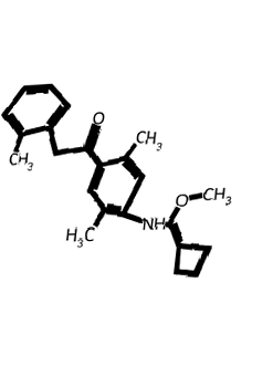 COC(Nc1cc(C)c(C(=O)Cc2ccccc2C)cc1C)=C1CCC1